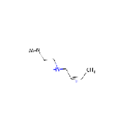 C/C=C\CNCCNC